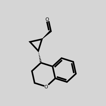 O=C[C@@H]1C[C@H]1C1CCOc2ccccc21